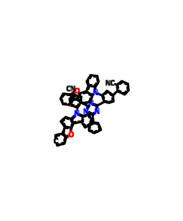 N#Cc1ccc(-n2c3ccccc3c3c4oc5ccccc5c4ccc32)c(-c2nc(-c3ccccc3)nc(-c3ccc(-c4ccccc4C#N)cc3-n3c4ccccc4c4c5oc6ccccc6c5ccc43)n2)c1